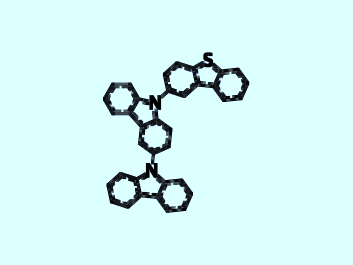 c1ccc2c(c1)sc1ccc(-n3c4ccccc4c4cc(-n5c6ccccc6c6ccccc65)ccc43)cc12